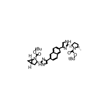 C[C@H]1CC[C@@H](c2nc(-c3ccc4cc(-c5c[nH]c([C@@H]6C[C@H]7C[C@H]7N6C(=O)OC(C)(C)C)n5)ccc4c3)c[nH]2)N1C(=O)OC(C)(C)C